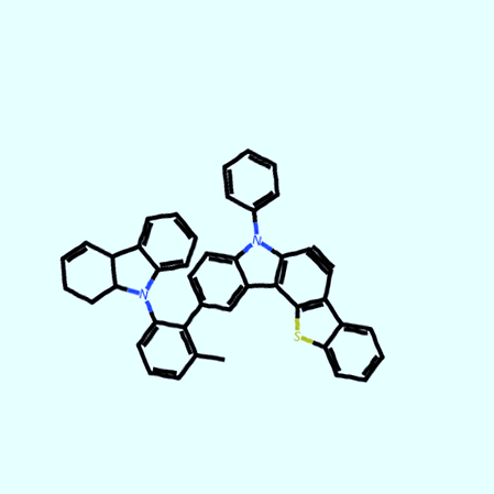 Cc1cccc(N2c3ccccc3C3C=CCCC32)c1-c1ccc2c(c1)c1c3sc4ccccc4c3c#cc1n2-c1ccccc1